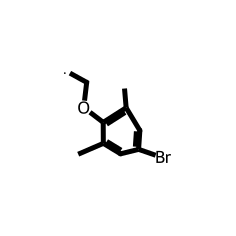 [CH2]COc1c(C)cc(Br)cc1C